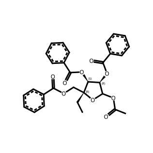 CC[C@]1(COC(=O)c2ccccc2)OC(OC(C)=O)[C@H](OC(=O)c2ccccc2)[C@@H]1OC(=O)c1ccccc1